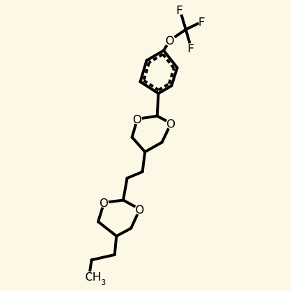 CCCC1COC(CCC2COC(c3ccc(OC(F)(F)F)cc3)OC2)OC1